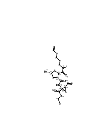 C=CCCCCN(C)C(=O)[C@@H]1C[C@@H](O)CN1C(=O)N[C@]1(C(=O)OCC)C[C@@H]1C=C